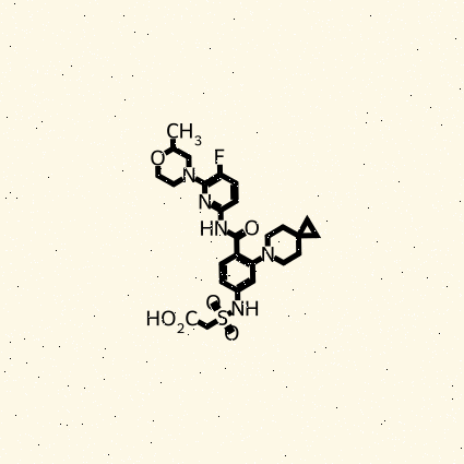 CC1CN(c2nc(NC(=O)c3ccc(NS(=O)(=O)CC(=O)O)cc3N3CCC4(CC3)CC4)ccc2F)CCO1